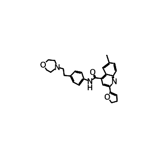 Cc1ccc2nc(C3=CCCO3)cc(C(=O)Nc3ccc(CCN4CCOCC4)cc3)c2c1